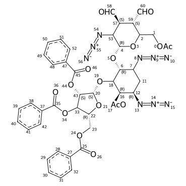 CC(=O)OCC1O[C@H](O[C@@H]2C(N=[N+]=[N-])C[C@@H](N=[N+]=[N-])[C@@H](OC(C)=O)C2O[C@@H]2O[C@H](COC(=O)c3ccccc3)C(OC(=O)c3ccccc3)[C@@H]2OC(=O)c2ccccc2)C(N=[N+]=[N-])[C@@H](C=O)[C@@H]1C=O